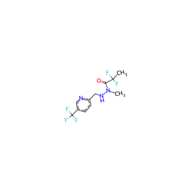 CN(NCc1ccc(C(F)(F)F)cn1)C(=O)C(C)(F)F